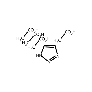 CC(=O)O.CC(=O)O.CC(=O)O.CC(=O)O.c1c[nH]nn1